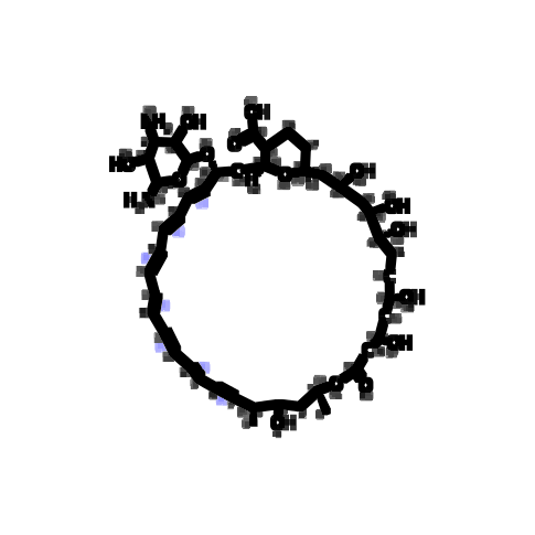 C[C@H]1CC(O)[C@@H](C)/C=C/C=C/C=C/C=C/C=C/C=C/C=C/[C@H](OC2OC(N)C(O)C(N)C2O)C[C@@H]2O[C@@H](CCC2C(=O)O)C[C@@H](O)C[C@@H](O)[C@H](O)CC[C@@H](O)C[C@@H](O)CC(=O)O1